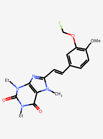 CCn1c(=O)c2c(nc(C=Cc3ccc(OC)c(OCF)c3)n2C)n(CC)c1=O